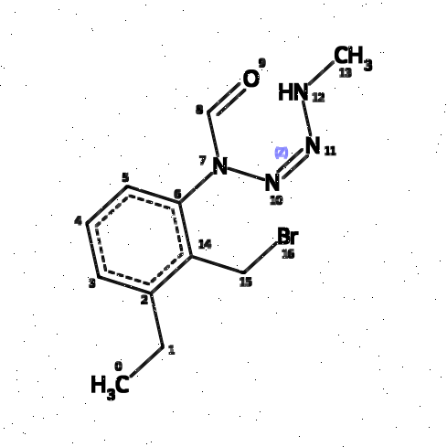 CCc1cccc(N(C=O)/N=N\NC)c1CBr